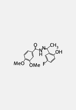 COc1ccc(C(=O)NN=C(C)c2cc(F)ccc2O)cc1OC